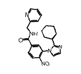 O=Nc1ccc(C(=O)NCc2ccccn2)cc1-n1ccnc1C1CCCCC1